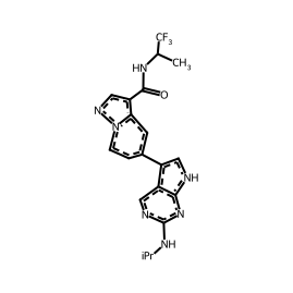 CC(C)Nc1ncc2c(-c3ccn4ncc(C(=O)NC(C)C(F)(F)F)c4c3)c[nH]c2n1